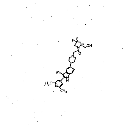 Cc1cc(-c2[nH]c3ccc(C4CCN(CC(=O)N5CC(F)(F)C[C@H]5CO)CC4)cc3c2C(C)C)cc(C)n1